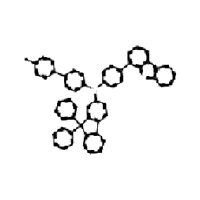 Cc1ccc(-c2ccc(N(c3ccc(-c4cccc5c4oc4ccccc45)cc3)c3ccc4c(c3)C(c3ccccc3)(c3ccccc3)c3ccccc3-4)cc2)cc1